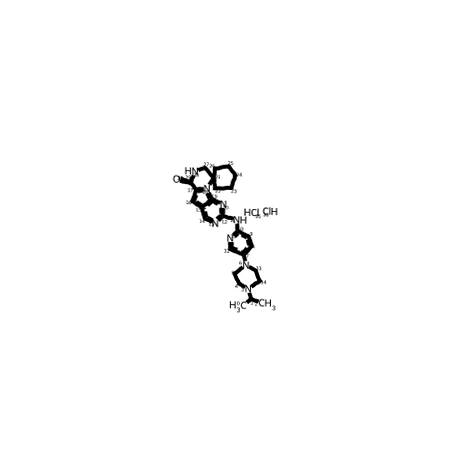 CC(C)N1CCN(c2ccc(Nc3ncc4cc5n(c4n3)C3(CCCCC3)CNC5=O)nc2)CC1.Cl.Cl